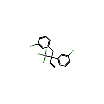 C=CC(Cc1cccc(Cl)c1)(c1cccc(Cl)c1)[Si](Cl)(Cl)Cl